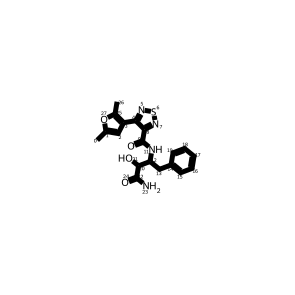 Cc1cc(-c2nsnc2C(=O)NC(Cc2ccccc2)C(O)C(N)=O)c(C)o1